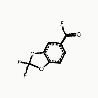 O=C(F)c1ccc2c(c1)OC(F)(F)O2